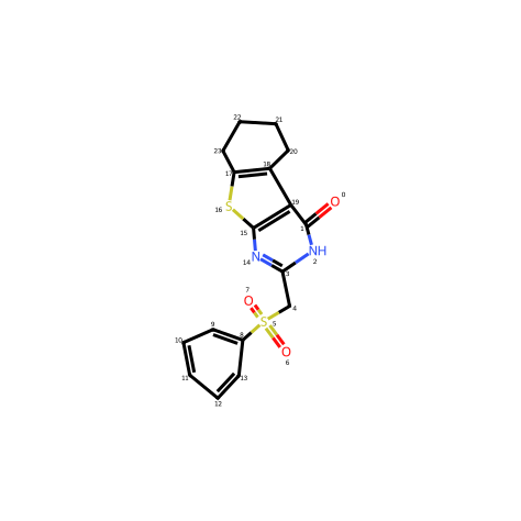 O=c1[nH]c(CS(=O)(=O)c2ccccc2)nc2sc3c(c12)CCCC3